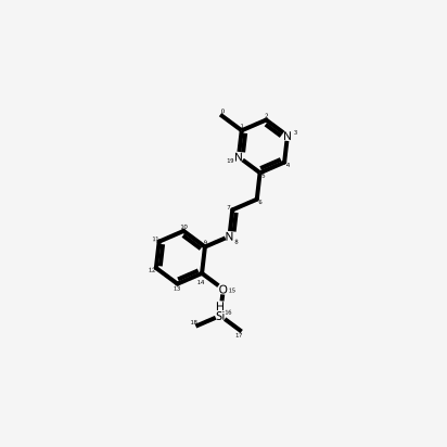 Cc1cncc(CC=Nc2ccccc2O[SiH](C)C)n1